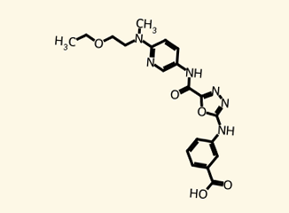 CCOCCN(C)c1ccc(NC(=O)c2nnc(Nc3cccc(C(=O)O)c3)o2)cn1